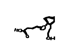 O=C(O)CCCOc1ccccc1CCO